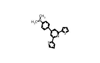 CN(C)c1ccc(-c2cc(-c3cccs3)nc(-c3cccs3)c2)cc1